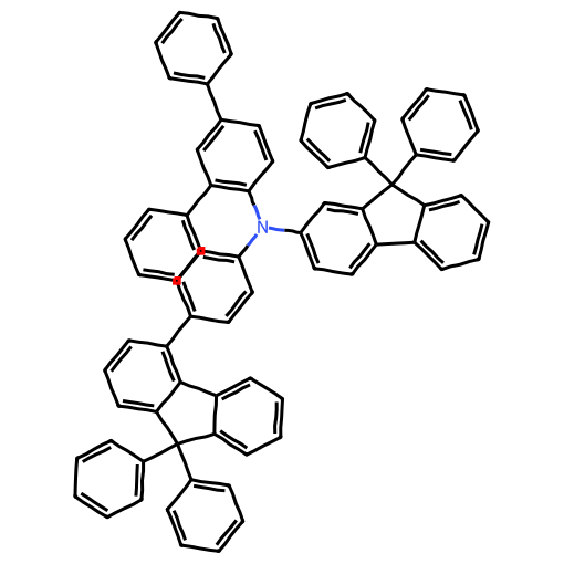 c1ccc(-c2ccc(N(c3ccc(-c4cccc5c4-c4ccccc4C5(c4ccccc4)c4ccccc4)cc3)c3ccc4c(c3)C(c3ccccc3)(c3ccccc3)c3ccccc3-4)c(-c3ccccc3)c2)cc1